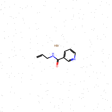 Br.C=CCNC(=O)c1cccnc1